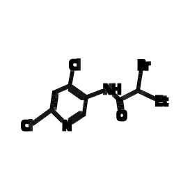 CCC(Br)C(=O)Nc1cnc(Cl)cc1Cl